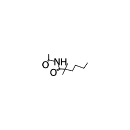 CCCCC(C)(C)C(=O)NC(C)=O